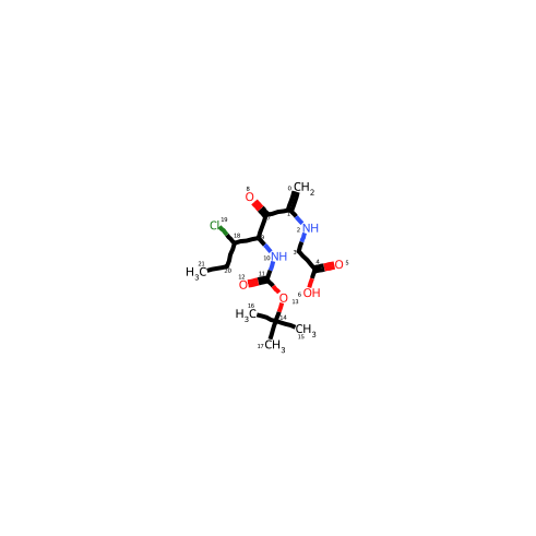 C=C(NCC(=O)O)C(=O)C(NC(=O)OC(C)(C)C)C(Cl)CC